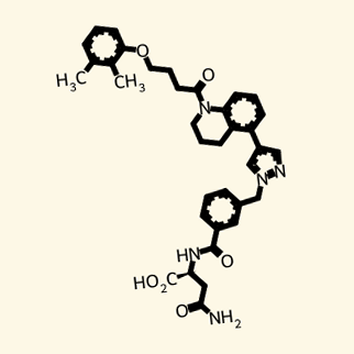 Cc1cccc(OCCCC(=O)N2CCCc3c(-c4cnn(Cc5cccc(C(=O)N[C@@H](CC(N)=O)C(=O)O)c5)c4)cccc32)c1C